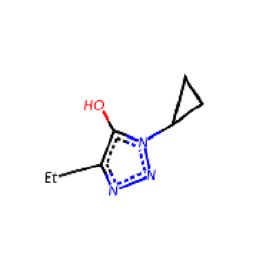 CCc1nnn(C2CC2)c1O